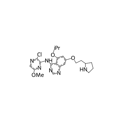 COc1cnc(Cl)c(Nc2ncnc3cc(OCCC4CCCN4)cc(OC(C)C)c23)n1